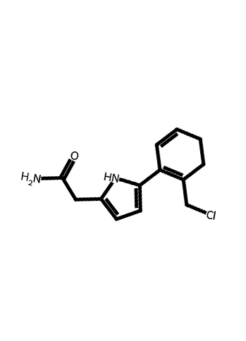 NC(=O)Cc1ccc(C2=C(CCl)CCC=C2)[nH]1